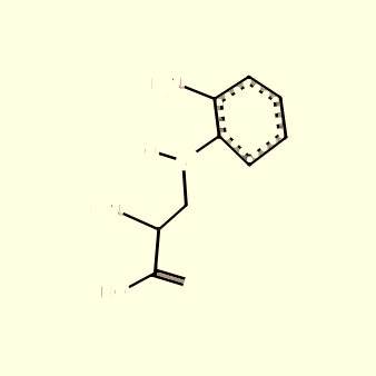 Nc1ccccc1[S+]([O-])CC(N)C(=O)O